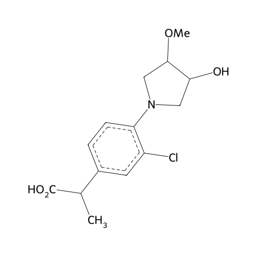 COC1CN(c2ccc(C(C)C(=O)O)cc2Cl)CC1O